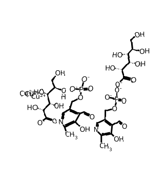 Cc1ncc(COP(=O)([O-])[O-])c(C=O)c1O.Cc1ncc(COP(=O)([O-])[O-])c(C=O)c1O.O=C([O-])[C@H](O)[C@@H](O)[C@H](O)[C@H](O)CO.O=C([O-])[C@H](O)[C@@H](O)[C@H](O)[C@H](O)CO.[Cu+2].[Cu+2].[Cu+2]